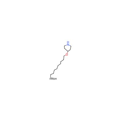 CCCCCCCCCCCCCCCCCCOC1CCNCC1